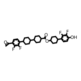 O=C(OC1CCC(c2ccc(O)c(F)c2F)CC1)C1CCC(C2CCC(c3ccc(C4CO4)c(F)c3F)CC2)CC1